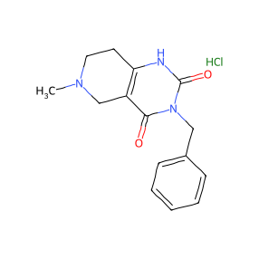 CN1CCc2[nH]c(=O)n(Cc3ccccc3)c(=O)c2C1.Cl